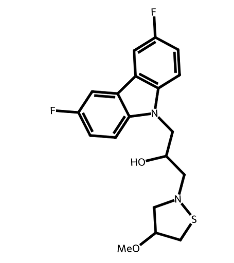 COC1CSN(CC(O)Cn2c3ccc(F)cc3c3cc(F)ccc32)C1